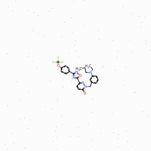 CCCN(CC)c1cccc(Cn2nc(-c3nc(-c4ccc(OC(F)(F)F)cc4)no3)ccc2=O)c1